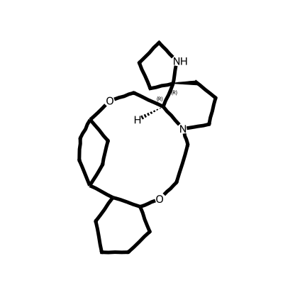 C1CCC2C3CCC(CC3)OC[C@@H]3N(CCC[C@]34CCCN4)CCOC2C1